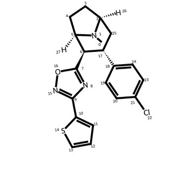 CN1[C@H]2CC[C@@H]1[C@H](c1nc(-c3cccs3)no1)[C@@H](c1ccc(Cl)cc1)C2